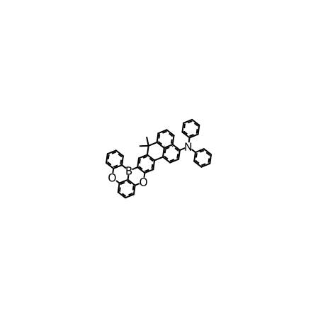 CC1(C)c2cc3c(cc2-c2ccc(N(c4ccccc4)c4ccccc4)c4cccc1c24)Oc1cccc2c1B3c1ccccc1O2